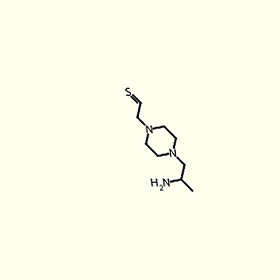 CC(N)CN1CCN(CC=S)CC1